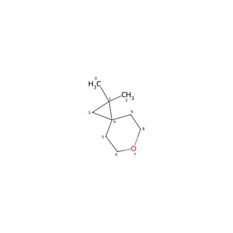 CC1(C)CC12CCOCC2